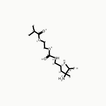 CC(C)C(=O)OCCOC(=O)NCCCC(C)(N)C(F)F